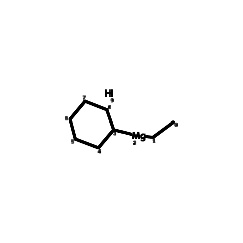 C[CH2][Mg][CH]1CCCCC1.I